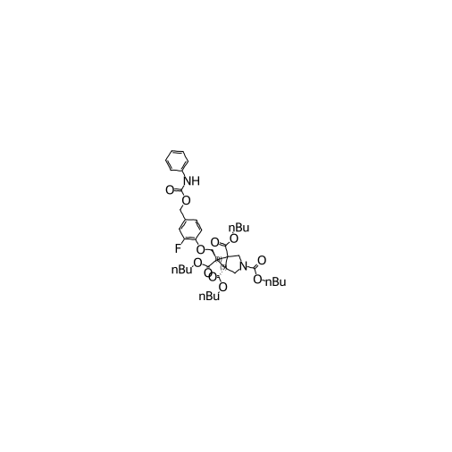 CCCCOC(=O)N1CC2(C(=O)OCCCC)[C@@](C(=O)OCCCC)(C1)[C@]2(COc1ccc(COC(=O)Nc2ccccc2)cc1F)C(=O)OCCCC